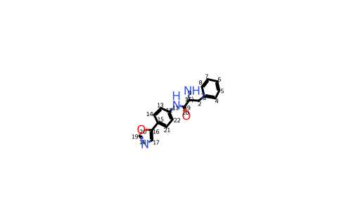 N[C@@H](Cc1ccccc1)C(=O)Nc1ccc(-c2cnco2)cc1